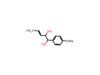 COc1ccc(C(O)C(O)/C=C/C(=O)O)cc1